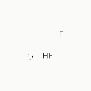 F.O=CF